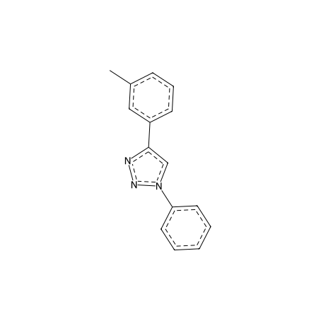 Cc1cccc(-c2cn(-c3ccccc3)nn2)c1